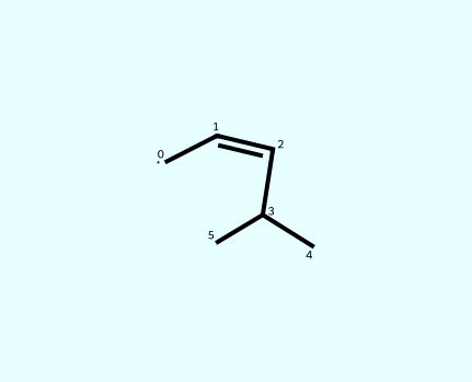 [CH2]/C=C\C(C)C